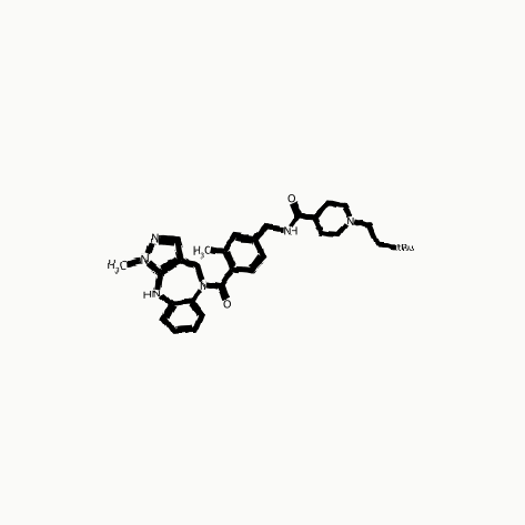 Cc1cc(CNC(=O)C2CCN(CCC(C)(C)C)CC2)ccc1C(=O)N1Cc2cnn(C)c2Nc2ccccc21